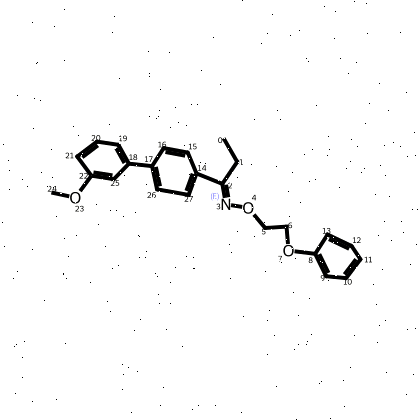 CC/C(=N\OCCOc1c[c]ccc1)c1ccc(-c2cccc(OC)c2)cc1